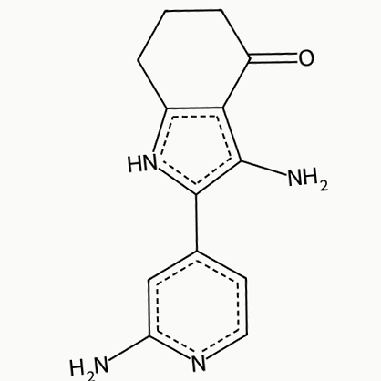 Nc1cc(-c2[nH]c3c(c2N)C(=O)CCC3)ccn1